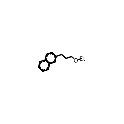 [CH2]COCCCc1ccc2ccccc2c1